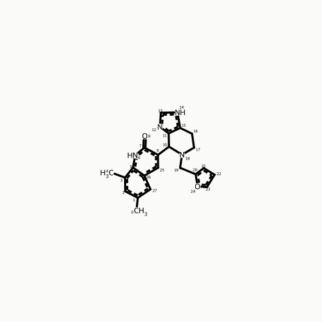 Cc1cc(C)c2[nH]c(=O)c(C3c4nc[nH]c4CCN3Cc3ccco3)cc2c1